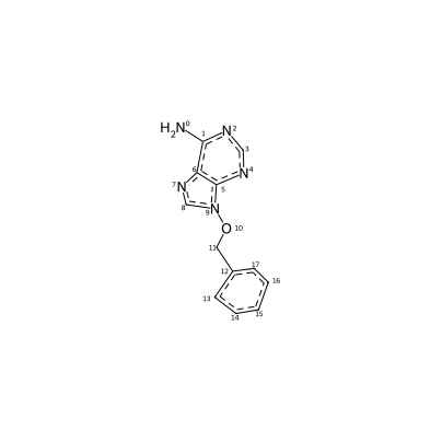 Nc1ncnc2c1ncn2OCc1ccccc1